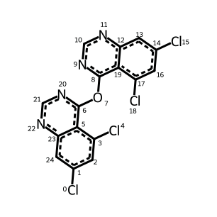 Clc1cc(Cl)c2c(Oc3ncnc4cc(Cl)cc(Cl)c34)ncnc2c1